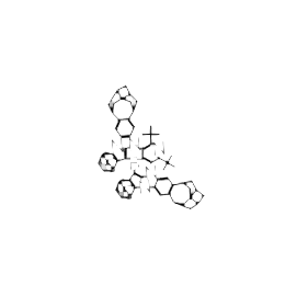 CC(C)(C)c1nc(C(C)(C)C)c2c3c1-n1c4cc5c(cc4n4c6c(c(c14)B3c1c3c(n4c7cc8c(cc7n-2c14)C1CC2CC4CC8CC24C1)C1CCC3CC1)C1CCC6CC1)C1CC2CC3CC5CC32C1